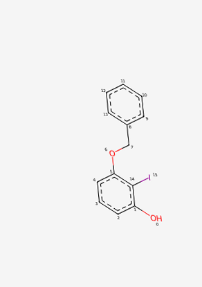 Oc1cccc(OCc2ccccc2)c1I